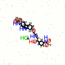 CS(=O)(=O)Nc1cccc([C@@H](O)CNCCOc2ccc3c(c2)[nH]c2cc(NS(C)(=O)=O)ccc23)c1.Cl